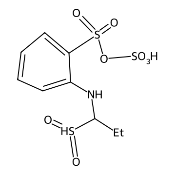 CCC(Nc1ccccc1S(=O)(=O)OS(=O)(=O)O)[SH](=O)=O